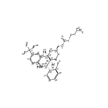 CCCCC(=O)OC[C@H]1CC[C@@H]2[C@H](O1)c1cc(C(F)(F)F)ccc1N[C@H]2C1C=CC=CC1F